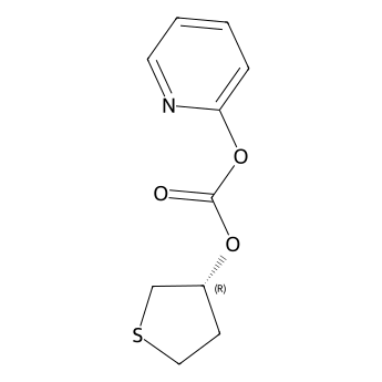 O=C(Oc1ccccn1)O[C@@H]1CCSC1